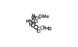 COC(C)(C)Cn1ncc(Nc2ncc3cc(Cl)c(C4CCN(C5COC5)CC4)cc3n2)c1Cl